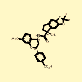 COc1ccc2c(c1)O[C@@H](c1ccc(C(=O)O)cc1)C[C@H]2NC(=O)[C@]1(C)CCc2cc3c(cc21)OC(F)(F)O3